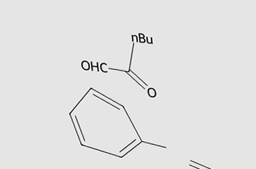 C=C.CCCCC(=O)C=O.Cc1ccccc1